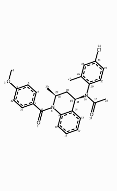 COc1ccc(C(=O)N2c3ccccc3[C@H](N(C(C)=O)c3ccc(Cl)cc3C)C[C@@H]2C)cc1